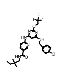 CCC(C)(C)CNC(=O)c1ccc(Nc2cc(NCc3ccc(Cl)cc3)nc(OCC(F)(F)F)n2)nc1